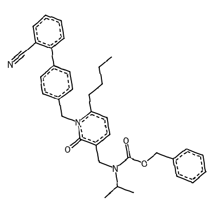 CCCCc1ccc(CN(C(=O)OCc2ccccc2)C(C)C)c(=O)n1Cc1ccc(-c2ccccc2C#N)cc1